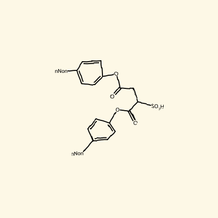 CCCCCCCCCc1ccc(OC(=O)CC(C(=O)Oc2ccc(CCCCCCCCC)cc2)S(=O)(=O)O)cc1